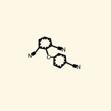 N#Cc1ccc(Oc2c(C#N)cccc2C#N)cc1